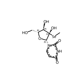 C[Se][C@@]1(O)[C@H](O)[C@@H](CO)O[C@H]1n1ccc(=O)[nH]c1=O